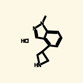 Cl.Cn1ncc2c(C3CNC3)cccc21